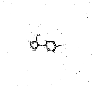 CC(=O)Oc1scnc1-c1ccc(Cl)cc1